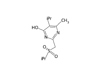 Cc1nc(CS(=O)(=O)C(C)C)nc(O)c1C(C)C